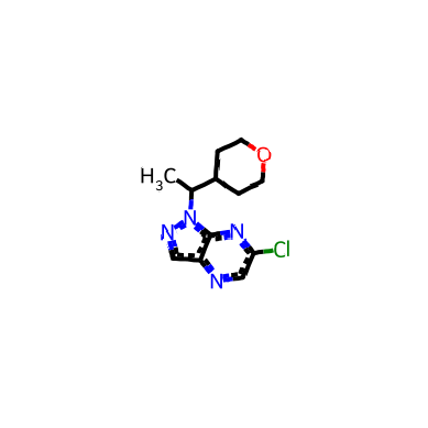 CC(C1CCOCC1)n1ncc2ncc(Cl)nc21